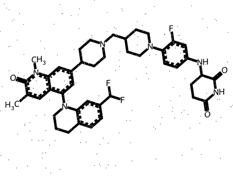 Cc1cc2c(N3CCCc4ccc(C(F)F)cc43)cc(C3CCN(CC4CCN(c5ccc(NC6CCC(=O)NC6=O)cc5F)CC4)CC3)cc2n(C)c1=O